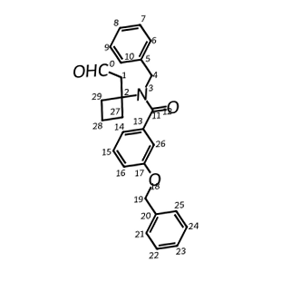 O=CCC1(N(Cc2ccccc2)C(=O)c2cccc(OCc3ccccc3)c2)CCC1